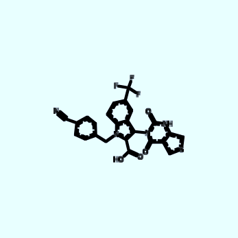 N#Cc1ccc(Cn2c(C(=O)O)c(-n3c(=O)[nH]c4cscc4c3=O)c3cc(C(F)(F)F)ccc32)cc1